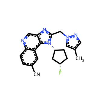 Cc1cnn(Cc2nc3cnc4ccc(C#N)cc4c3n2[C@@H]2CC[C@H](F)C2)c1